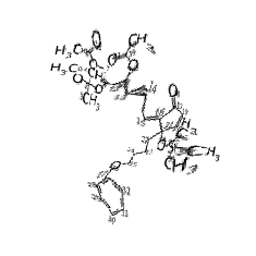 COC(C)(C)O[C@H](COC(C)=O)[C@H](C=CC=C1C(=O)C=CC1(CCCCOc1ccccc1)O[Si](C)(C)C)OC(C)=O